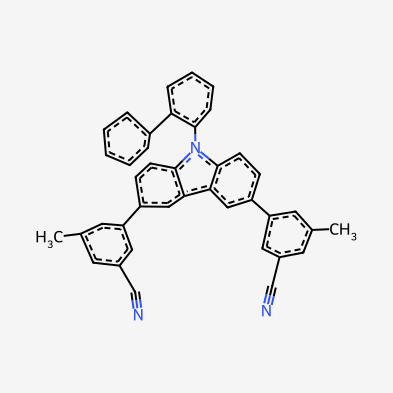 Cc1cc(C#N)cc(-c2ccc3c(c2)c2cc(-c4cc(C)cc(C#N)c4)ccc2n3-c2ccccc2-c2ccccc2)c1